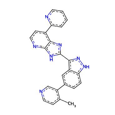 Cc1ccncc1-c1ccc2[nH]nc(-c3nc4c(-c5ccccn5)ccnc4[nH]3)c2c1